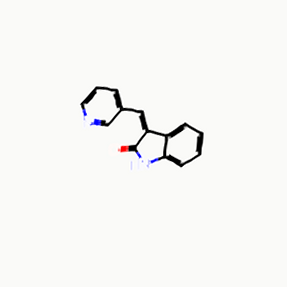 O=C1Nc2ccccc2C1=Cc1cccnc1